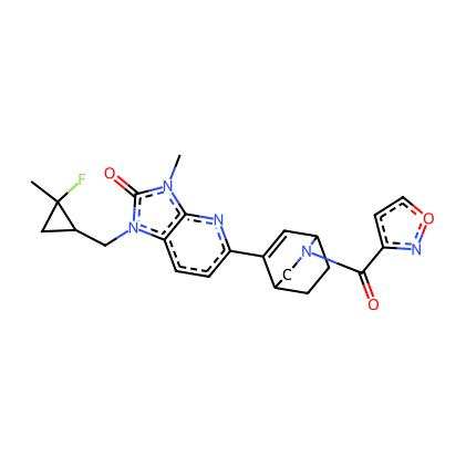 Cn1c(=O)n(CC2CC2(C)F)c2ccc(C3=CC4CCC3CN4C(=O)c3ccon3)nc21